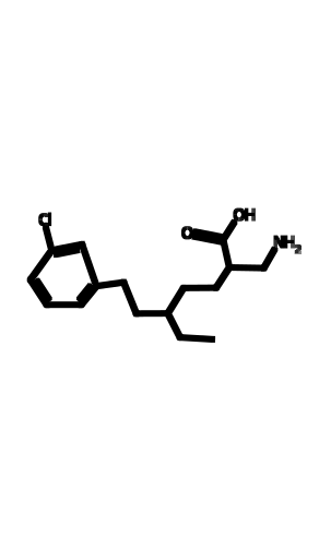 CCC(CCc1cccc(Cl)c1)CCC(CN)C(=O)O